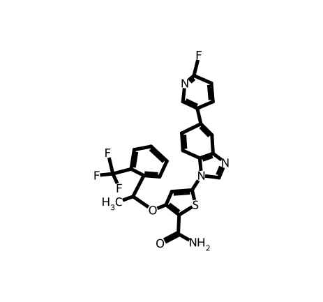 CC(Oc1cc(-n2cnc3cc(-c4ccc(F)nc4)ccc32)sc1C(N)=O)c1ccccc1C(F)(F)F